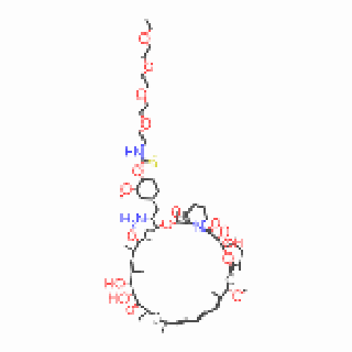 CCOCCOCCOCCOCCNC(=S)O[C@@H]1CC[C@@H](C[C@@H](N)[C@@H]2CC(=O)[C@H](C)/C=C(\C)[C@@H](O)[C@@H](O)C(=O)[C@H](C)C[C@H](C)/C=C/C=C/C=C(\C)[C@@H](OC)C[C@@H]3CC[C@@H](C)[C@@](O)(O3)C(=O)C(=O)N3CCCC[C@H]3C(=O)O2)C[C@H]1OC